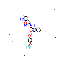 CC1(C)CC[C@@H](C[C@@H](C#N)NC(=O)C2CC3(CCCCC3)CN2C(=O)COc2ccc(OC(F)(F)F)cc2)C(=O)N1